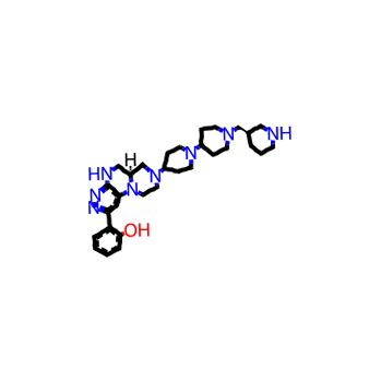 Oc1ccccc1-c1cc2c(nn1)NC[C@H]1CN(C3CCN(C4CCN(C[C@@H]5CCCNC5)CC4)CC3)CCN21